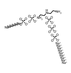 NCCNCCN.O=P([O-])([O-])[O-].O=P([O-])([O-])[O-].O=P([O-])([O-])[O-].O=P([O-])([O-])[O-].O=P([O-])([O-])[O-].[Na+].[Na+].[Na+].[Na+].[Na+].[Na+].[Na+].[Na+].[Na+].[Na+].[Na+].[Na+].[Na+].[Na+].[Na+]